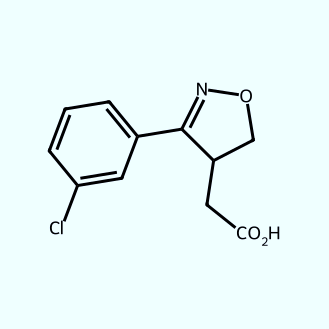 O=C(O)CC1CON=C1c1cccc(Cl)c1